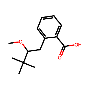 COC(Cc1ccccc1C(=O)O)C(C)(C)C